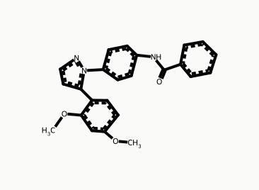 COc1ccc(-c2ccnn2-c2ccc(NC(=O)c3ccccc3)cc2)c(OC)c1